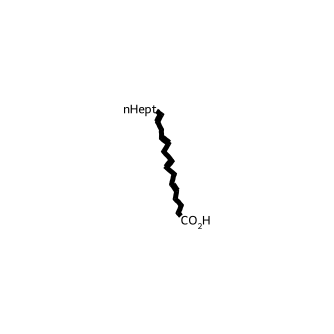 CCCCCCC/C=C/C/C=C/C/C=C/C/C=C/CCCC(=O)O